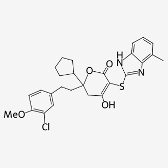 COc1ccc(CCC2(C3CCCC3)CC(O)=C(Sc3nc4c(C)cccc4[nH]3)C(=O)O2)cc1Cl